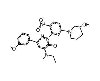 CCN(C)c1cc(-c2cccc(OC)c2)nn(-c2cc(N3CCCC(O)C3)ccc2[N+](=O)[O-])c1=O